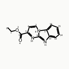 CCOC(=O)c1ccn2c(n1)nc1ccccc12